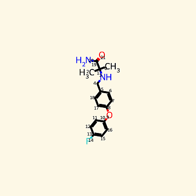 CC(C)(NCc1ccc(Oc2ccc(F)cc2)cc1)C(N)=O